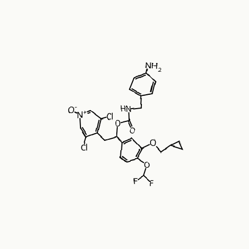 Nc1ccc(CNC(=O)OC(Cc2c(Cl)c[n+]([O-])cc2Cl)c2ccc(OC(F)F)c(OCC3CC3)c2)cc1